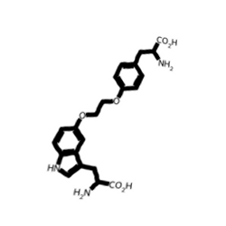 NC(Cc1ccc(OCCOc2ccc3[nH]cc(CC(N)C(=O)O)c3c2)cc1)C(=O)O